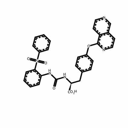 O=C(Nc1ccccc1S(=O)(=O)c1ccccc1)N[C@@H](Cc1ccc(Oc2nccc3cnccc23)cc1)C(=O)O